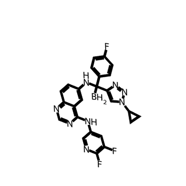 BC(Nc1ccc2ncnc(Nc3cnc(F)c(F)c3)c2c1)(c1ccc(F)cc1)c1cn(C2CC2)nn1